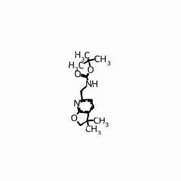 CC(C)(C)OC(=O)NCc1ccc2c(n1)OCC2(C)C